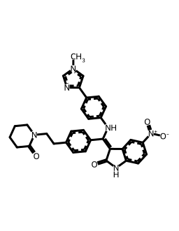 Cn1cnc(-c2ccc(NC(=C3C(=O)Nc4ccc([N+](=O)[O-])cc43)c3ccc(CCN4CCCCC4=O)cc3)cc2)c1